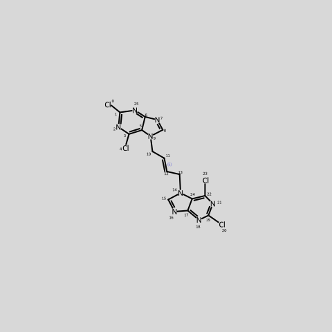 Clc1nc(Cl)c2c(ncn2C/C=C/Cn2cnc3nc(Cl)nc(Cl)c32)n1